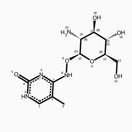 Cc1c[nH]c(=O)nc1NO[C@@H]1O[C@H](CO)[C@@H](O)[C@H](O)[C@H]1N